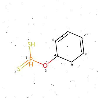 S=[PH](S)OC1C=CC=CC1